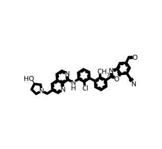 Cc1c(-c2nc3cc(C=O)cc(C#N)c3o2)cccc1-c1cccc(Nc2nccc3cc(CN4CC[C@H](O)C4)cnc23)c1Cl